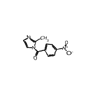 Cc1nccn1C(=O)c1ccc([N+](=O)[O-])cc1